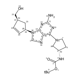 CC(C)(C)OC(=O)N[C@H]1CCN(c2nc(N)nc3c2ncn3[C@H]2C=C[C@@H](CO)C2)C1